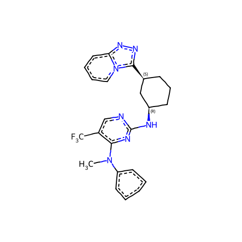 CN(c1ccccc1)c1nc(N[C@@H]2CCC[C@H](c3nnc4ccccn34)C2)ncc1C(F)(F)F